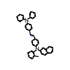 Cc1ccccc1N(c1ccc(/C=C/c2ccc(N(c3ccccc3)c3ccccc3)cc2)cc1)c1ccc2ccccc2c1